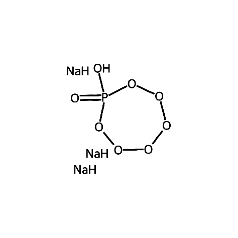 O=P1(O)OOOOOO1.[NaH].[NaH].[NaH]